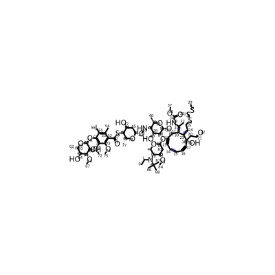 CCN([C@H]1CO[C@@H](O[C@H]2[C@H](O[C@H]3C#C/C=C\C#C[C@](O)(CC=O)C(=C/CSSSC)/C3=C(\C)NC(=O)OC)O[C@H](C)[C@@H](NO[C@H]3C[C@H](O)[C@H](SC(=O)c4c(C)c(I)c(O[C@@H]5O[C@@H](C)[C@H](O)[C@@H](OC)[C@H]5O)c(OC)c4OC)[C@@H](C)O3)[C@@H]2O)C[C@@H]1OC)C(C)(C)C